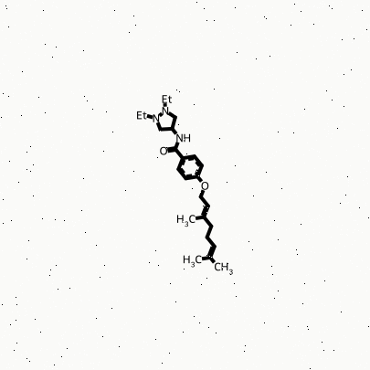 CCN1CC(NC(=O)c2ccc(OC/C=C(\C)CCC=C(C)C)cc2)CN1CC